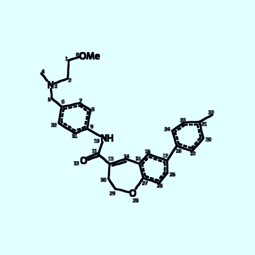 COCCN(C)Cc1ccc(NC(=O)C2=Cc3cc(-c4ccc(C)cc4)ccc3OCC2)cc1